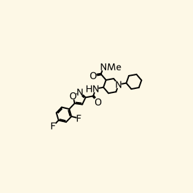 CNC(=O)C1CN(C2CCCCC2)CCC1NC(=O)c1cc(-c2ccc(F)cc2F)on1